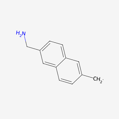 [CH2]c1ccc2cc(CN)ccc2c1